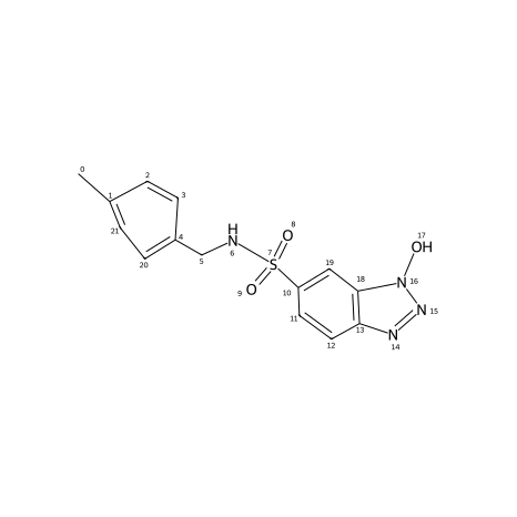 Cc1ccc(CNS(=O)(=O)c2ccc3nnn(O)c3c2)cc1